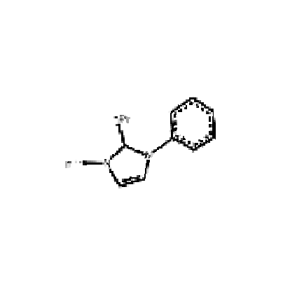 CCCC1N(CCC)C=CN1c1ccccc1